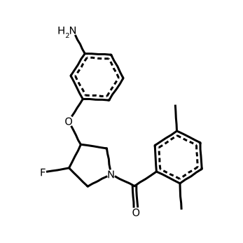 Cc1ccc(C)c(C(=O)N2CC(F)C(Oc3cccc(N)c3)C2)c1